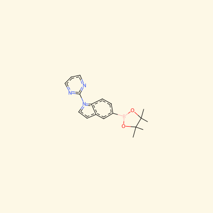 CC1(C)OB(c2ccc3c(ccn3-c3ncccn3)c2)OC1(C)C